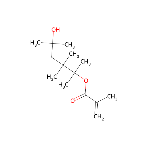 C=C(C)C(=O)OC(C)(C)C(C)(C)CC(C)(C)O